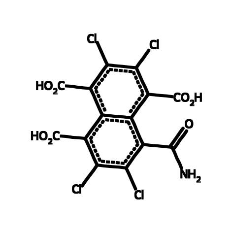 NC(=O)c1c(Cl)c(Cl)c(C(=O)O)c2c(C(=O)O)c(Cl)c(Cl)c(C(=O)O)c12